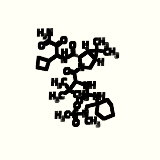 CN(CC1(NC(=O)N[C@H](C(=O)N2C[C@H]3[C@@H]([C@H]2C(=O)NC(C(=O)C(N)=O)C2CCC2)C3(C)C)C(C)(C)C)CCCCC1)S(C)(=O)=O